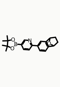 CC1(C)OB(c2ccc(-c3ccc4c(c3)C3CCC4O3)nc2)OC1(C)C